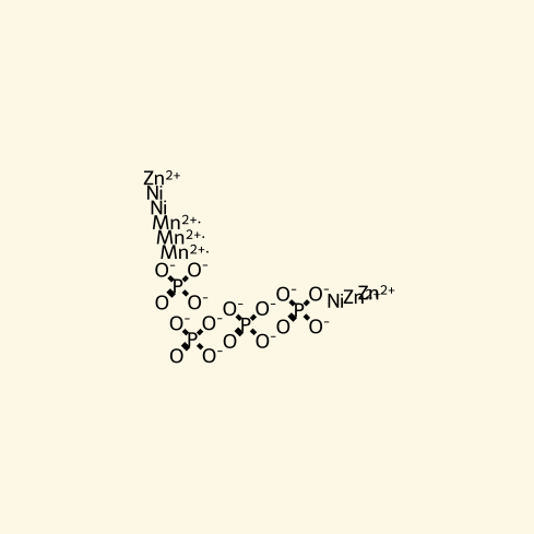 O=P([O-])([O-])[O-].O=P([O-])([O-])[O-].O=P([O-])([O-])[O-].O=P([O-])([O-])[O-].[Mn+2].[Mn+2].[Mn+2].[Ni].[Ni].[Ni].[Zn+2].[Zn+2].[Zn+2]